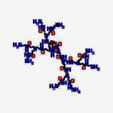 CCCC(=O)NCN(CC(=O)NCN(CCC(=O)NCCN(CCC(=O)NCCN)CCC(=O)NCCN)CCC(=O)NCCN(CCC(=O)NCCN)CCC(=O)NCCN)CC(=O)NN(CCC(=O)NCCN(CCC(=O)NCCN)CCC(=O)NCCN)CCC(=O)NCCN(CCC(=O)NCCN)CCC(=O)NCCN